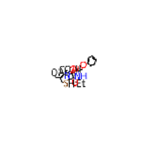 CCO[C@@]1(NC(=O)COc2ccccc2)C(=O)N2C(C(=O)O)=C(COC(C)=O)CS[C@@H]21